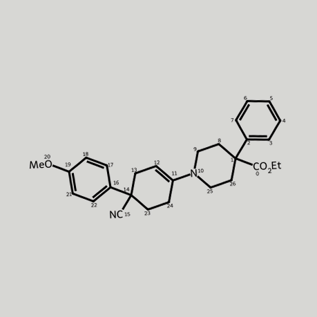 CCOC(=O)C1(c2ccccc2)CCN(C2=CCC(C#N)(c3ccc(OC)cc3)CC2)CC1